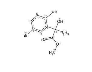 COC(=O)C(C)(O)c1cc(Br)ccc1F